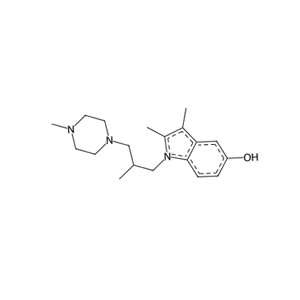 Cc1c(C)n(CC(C)CN2CCN(C)CC2)c2ccc(O)cc12